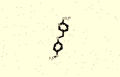 O=C(O)c1ccc(COc2ccc(OC(F)(F)F)cc2)cn1